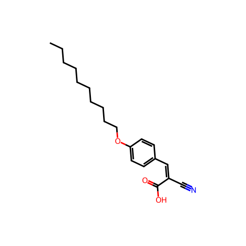 CCCCCCCCCCOc1ccc(C=C(C#N)C(=O)O)cc1